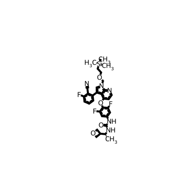 C[C@@H](NC(=O)Nc1cc(F)c(Oc2ccnc3c2c(-c2cccc(F)c2C#N)cn3COCC[Si](C)(C)C)c(F)c1)C1COC1